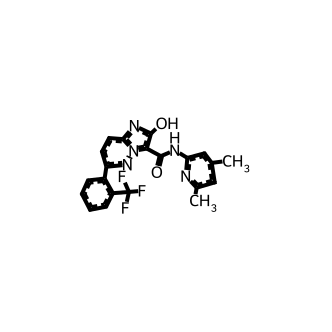 Cc1cc(C)nc(NC(=O)c2c(O)nc3ccc(-c4ccccc4C(F)(F)F)nn23)c1